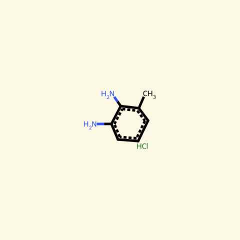 Cc1cccc(N)c1N.Cl